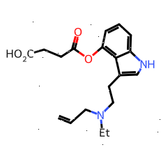 C=CCN(CC)CCc1c[nH]c2cccc(OC(=O)CCC(=O)O)c12